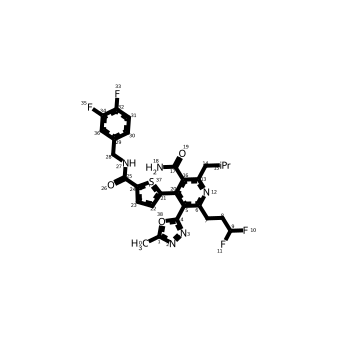 Cc1nnc(-c2c(CCC(F)F)nc(CC(C)C)c(C(N)=O)c2-c2ccc(C(=O)NCc3ccc(F)c(F)c3)s2)o1